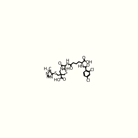 Cn1nnnc1SCC1(C(=O)O)CS[C@@H]2C(NC(=O)CCCC(NC(=O)c3ccc(Cl)cc3Cl)C(=O)O)C(=O)N2C1